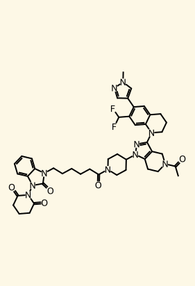 CC(=O)N1CCc2c(c(N3CCCc4cc(-c5cnn(C)c5)c(C(F)F)cc43)nn2C2CCN(C(=O)CCCCCn3c(=O)n(N4C(=O)CCCC4=O)c4ccccc43)CC2)C1